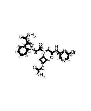 NC(=O)O[C@H]1C[C@H](N(CC(=O)Nc2cncc(Br)n2)C(=O)Cn2nc(C(N)=O)c3ccccc32)C1